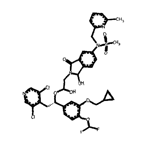 Cc1cccc(CN(c2ccc3c(c2)C(=O)N(CC(O)O[C@@H](Cc2c(Cl)cncc2Cl)c2ccc(OC(F)F)c(OCC4CC4)c2)C3O)S(C)(=O)=O)n1